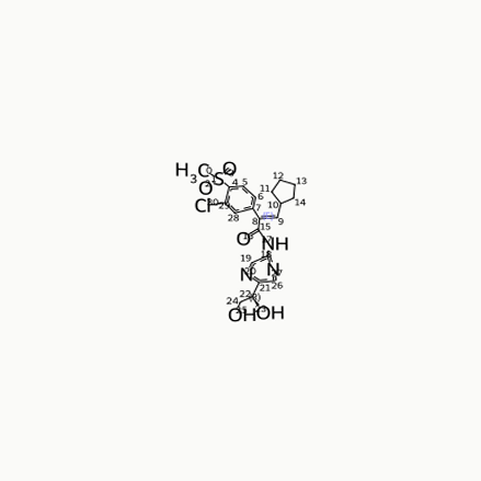 CS(=O)(=O)c1ccc(/C(=C\C2CCCC2)C(=O)Nc2cnc([C@@H](O)CO)cn2)cc1Cl